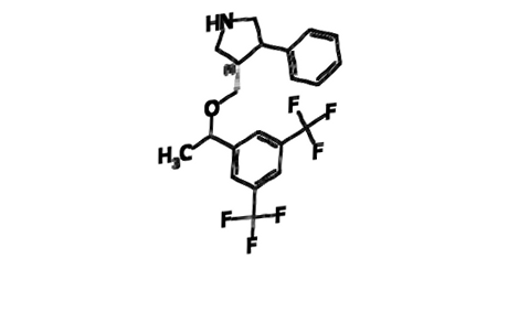 CC(OC[C@@H]1CNCC1c1ccccc1)c1cc(C(F)(F)F)cc(C(F)(F)F)c1